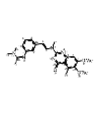 COc1cc2[nH]c(N(C)/C=C/c3cccc(N=C(C)N(C)C)c3)nc(=O)c2c(C)c1OC